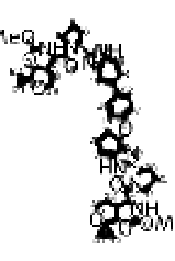 COC(=O)NC(C(=O)N1CCC[C@H]1c1nc2cc(-c3ccc(Oc4cccc5[nH]c([C@@H]6CCCN6C(=O)C(NC(=O)OC)C6CCOC7(CC7)C6)nc45)cc3)ccc2[nH]1)C1CCOC2(CC2)C1